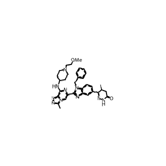 COCCN1CCC(Nc2nc(-c3nc4cc(C5=NNC(=O)CC5C)ccc4n3Cc3ccccc3)cn3c(C)nnc23)CC1